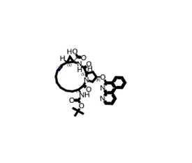 CC(C)(C)OC(=O)N[C@H]1CCCCC/C=C\[C@@H]2C[C@@]2(C(=O)O)NC(=O)[C@@H]2C[C@@H](Oc3nc4ncccc4c4ccccc34)CN2C1=O